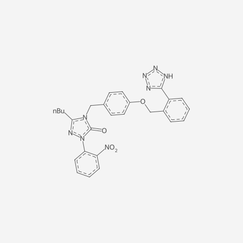 CCCCc1nn(-c2ccccc2[N+](=O)[O-])c(=O)n1Cc1ccc(OCc2ccccc2-c2nnn[nH]2)cc1